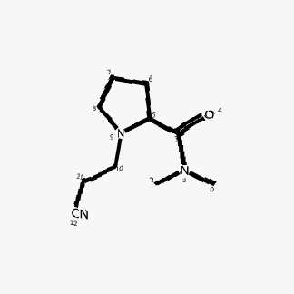 CN(C)C(=O)C1CCCN1CCC#N